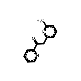 Cc1cccc(CC(=O)c2ccccn2)n1